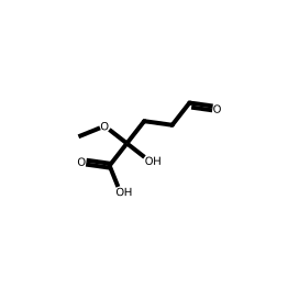 COC(O)(CCC=O)C(=O)O